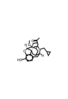 CO[C@]1(CI)[C@@H](CC(C)=O)CC2C[C@@]34CCN(CC5CC5)[C@@H]2Cc2ccc(O)c(c23)O[C@H]41